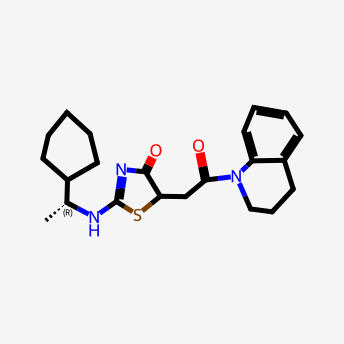 C[C@@H](NC1=NC(=O)C(CC(=O)N2CCCc3ccccc32)S1)C1CCCCC1